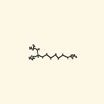 CCCCCCCC[C](C)CC